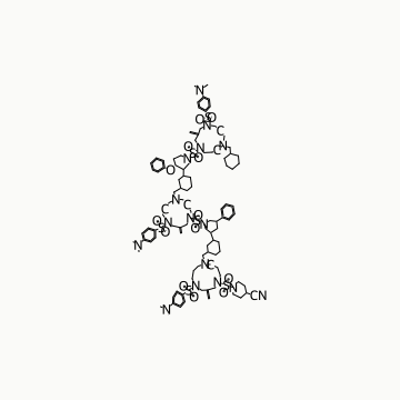 C=C1CN(S(=O)(=O)c2ccc(N(C)C)cc2)CCCN(CC2CCCC(C3CC(c4ccccc4)CN(S(=O)(=O)N4CCCN(CC5CCCC(C6CN(S(=O)(=O)N7CCCN(CC8CCCCC8)CCCN(S(=O)(=O)c8ccc(N(C)C)cc8)CC(=C)C7)CCC6Oc6ccccc6)C5)CCCN(S(=O)(=O)c5ccc(N(C)C)cc5)CC(=C)C4)C3)C2)CCCN(S(=O)(=O)N2CCC(C#N)CC2)C1